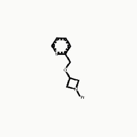 CC(C)N1CC(OCc2ccccn2)C1